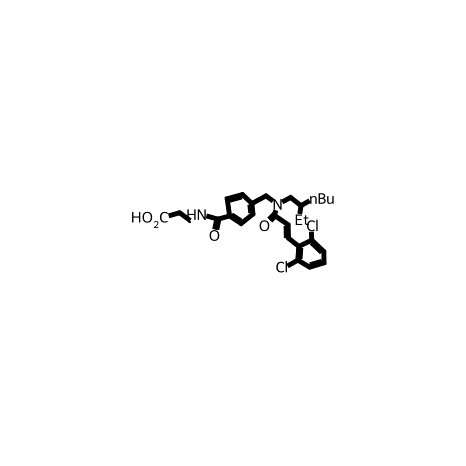 CCCCC(CC)CN(Cc1ccc(C(=O)NCCC(=O)O)cc1)C(=O)C=Cc1c(Cl)cccc1Cl